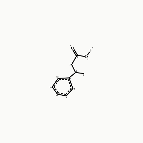 CC(CC(=O)OF)c1ccccc1